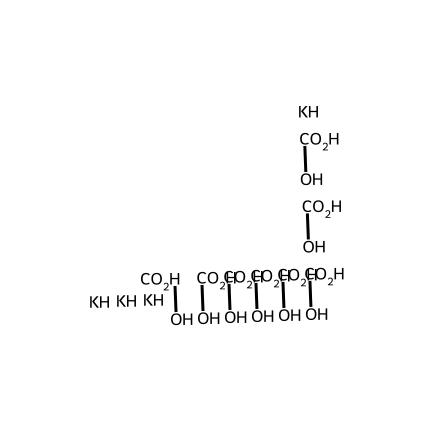 O=C(O)O.O=C(O)O.O=C(O)O.O=C(O)O.O=C(O)O.O=C(O)O.O=C(O)O.O=C(O)O.[KH].[KH].[KH].[KH]